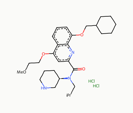 COCCOc1cc(C(=O)N(CC(C)C)[C@@H]2CCCNC2)nc2c(OCC3CCCCC3)cccc12.Cl.Cl